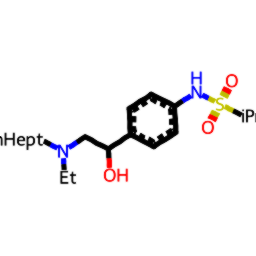 CCCCCCCN(CC)CC(O)c1ccc(NS(=O)(=O)C(C)C)cc1